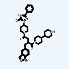 O=C(CC(Cc1ccc2[nH]ncc2c1)C(=O)N1CCC(C2CCNCC2)CC1)N1CCC(n2nc(-c3ccccc3)[nH]c2=O)CC1